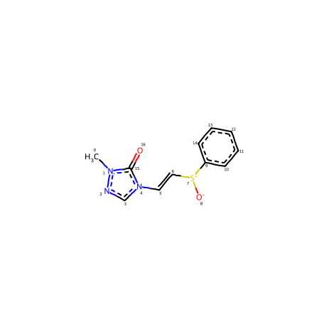 Cn1ncn(/C=C/[S+]([O-])c2ccccc2)c1=O